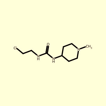 CN1CCC(NC(=O)NCCCl)CC1